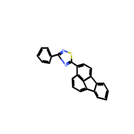 c1ccc(-c2nsc(-c3ccc4c5c(cccc35)-c3ccccc3-4)n2)cc1